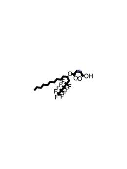 CCCCCCCCCCC(CC(F)(F)C(F)(F)C(F)(F)C(F)(F)F)OC(=O)/C=C\C(=O)O